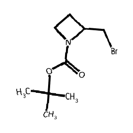 CC(C)(C)OC(=O)N1CCC1CBr